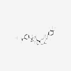 CC1Cn2cnc(C(=O)N(C)C3(c4cccc(C(=O)O)c4)CC3)c2CN1C(=O)Nc1ccc(F)c(Cl)c1